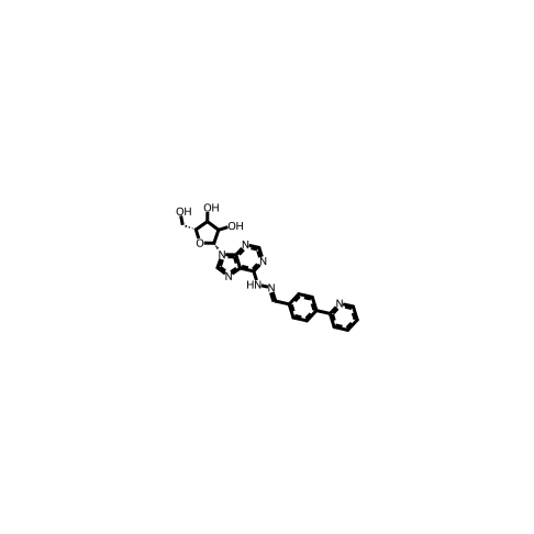 OC[C@H]1O[C@@H](n2cnc3c(N/N=C/c4ccc(-c5ccccn5)cc4)ncnc32)C(O)C1O